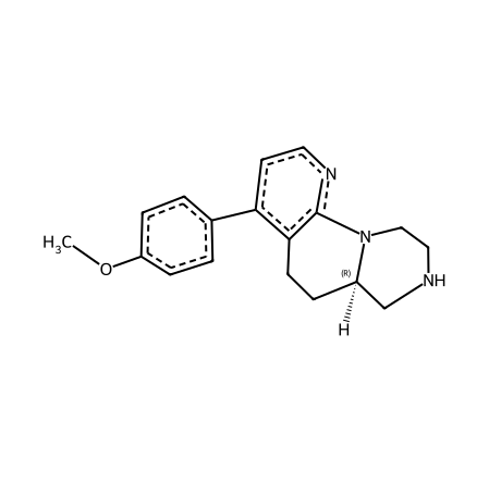 COc1ccc(-c2ccnc3c2CC[C@@H]2CNCCN32)cc1